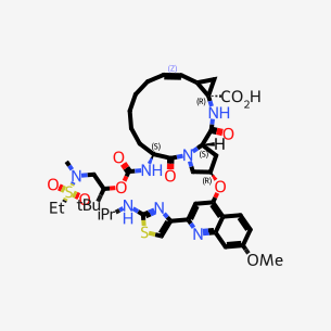 CCS(=O)(=O)N(C)CC(OC(=O)N[C@H]1CCCCC/C=C\C2C[C@@]2(C(=O)O)NC(=O)[C@@H]2C[C@@H](Oc3cc(-c4csc(NC(C)C)n4)nc4cc(OC)ccc34)CN2C1=O)C(C)(C)C